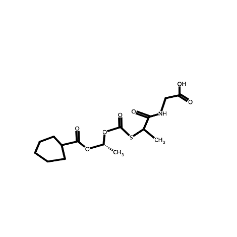 CC(SC(=O)O[C@H](C)OC(=O)C1CCCCC1)C(=O)NCC(=O)O